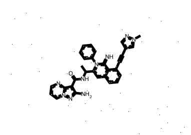 CC(NC(=O)c1c(N)nn2cccnc12)c1cc2cccc(C#Cc3cnn(C)c3)c2c(=N)n1-c1ccccc1